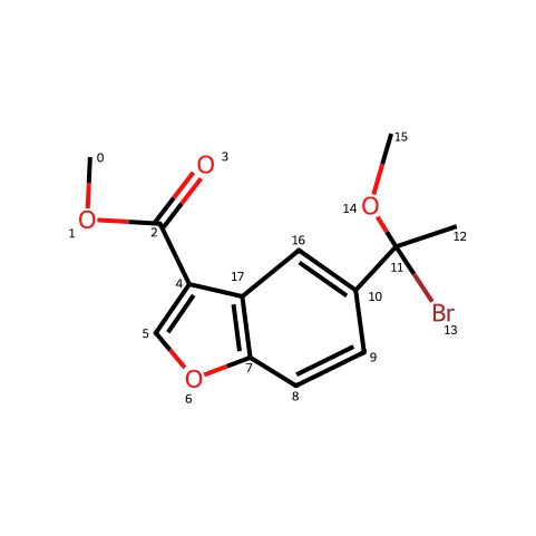 COC(=O)c1coc2ccc(C(C)(Br)OC)cc12